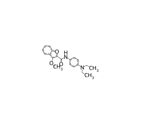 CCN(CC)c1ccc(NC(=O)c2oc3ccccc3c2OC)cc1